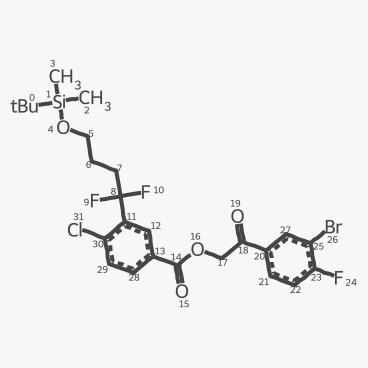 CC(C)(C)[Si](C)(C)OCCCC(F)(F)c1cc(C(=O)OCC(=O)c2ccc(F)c(Br)c2)ccc1Cl